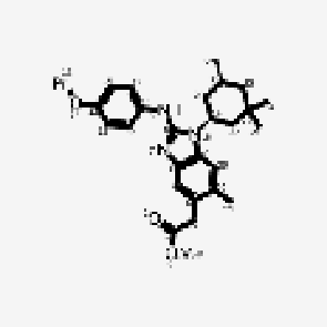 COC(=O)Cc1cc2nc(Nc3ccc(OC(C)C)cc3)n([C@H]3C[C@@H](C)CC(C)(C)C3)c2cc1C